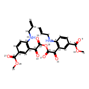 C=CCNc1ccc(C(=O)OC)cc1C(=O)C(=O)OC(=O)C(=O)c1cc(C(=O)OC)ccc1NCC=C